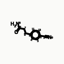 N#Cc1ccc([CH]CC(N)=O)cc1